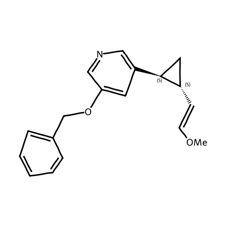 COC=C[C@H]1C[C@@H]1c1cncc(OCc2ccccc2)c1